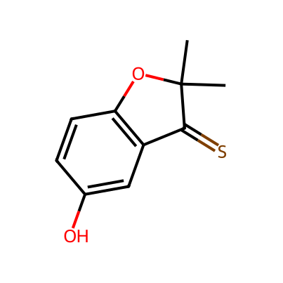 CC1(C)Oc2ccc(O)cc2C1=S